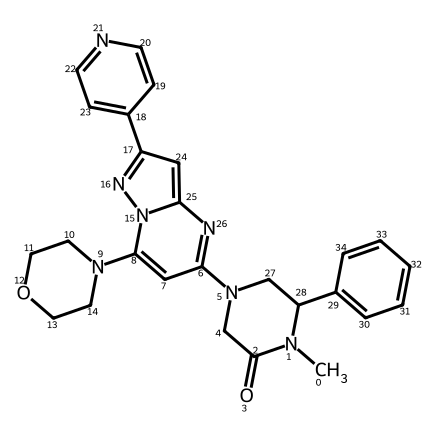 CN1C(=O)CN(c2cc(N3CCOCC3)n3nc(-c4ccncc4)cc3n2)CC1c1ccccc1